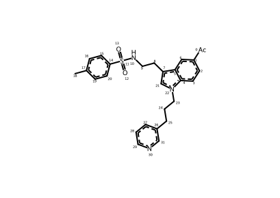 CC(=O)c1ccc2c(c1)c(CCNS(=O)(=O)c1ccc(C)cc1)cn2CCCc1cccnc1